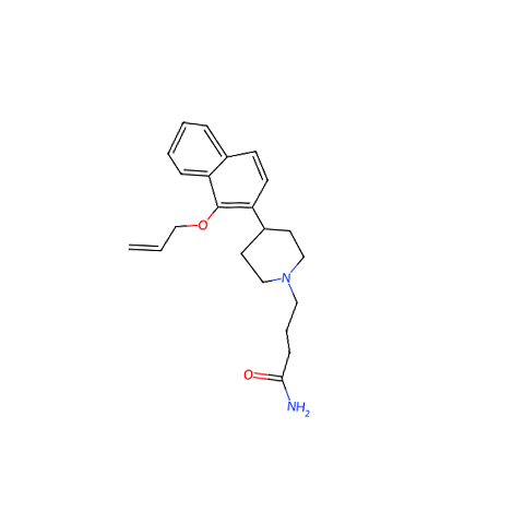 C=CCOc1c(C2CCN(CCCC(N)=O)CC2)ccc2ccccc12